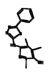 Cc1nc(Nc2nnc(-c3ccccc3)s2)c(C)c(C)c1O